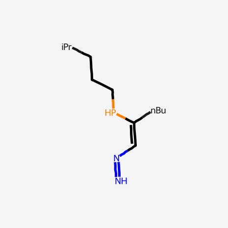 CCCC/C(=C/N=N)PCCCC(C)C